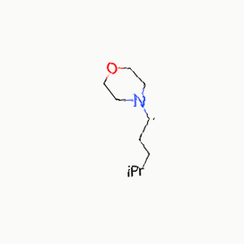 CC(C)CC[CH]N1CCOCC1